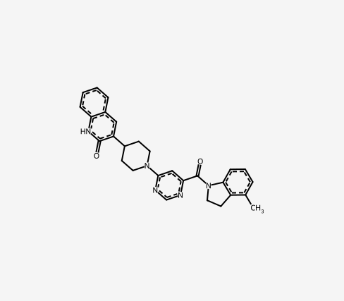 Cc1cccc2c1CCN2C(=O)c1cc(N2CCC(c3cc4ccccc4[nH]c3=O)CC2)ncn1